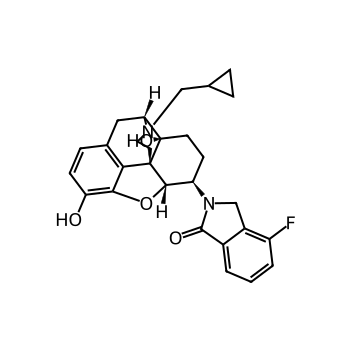 O=C1c2cccc(F)c2CN1[C@@H]1CC[C@@]2(O)[C@H]3Cc4ccc(O)c5c4[C@@]2(CCN3CC2CC2)[C@H]1O5